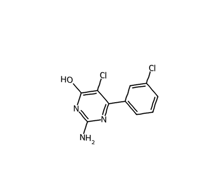 Nc1nc(O)c(Cl)c(-c2cccc(Cl)c2)n1